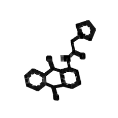 O=C(Cn1cccc1)Nc1cccc2c1C(=O)c1ccccc1C2=O